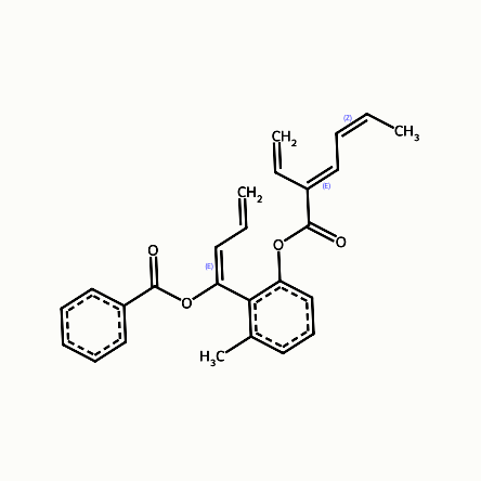 C=C/C=C(/OC(=O)c1ccccc1)c1c(C)cccc1OC(=O)/C(C=C)=C/C=C\C